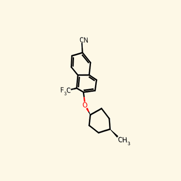 C[C@H]1CC[C@@H](Oc2ccc3cc(C#N)ccc3c2C(F)(F)F)CC1